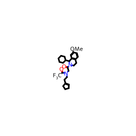 COc1ccc2c(c1)C(C1CCCCC1)N(C(=O)CN(CCC1=CCCC1)C(=O)C(F)(F)F)CC2